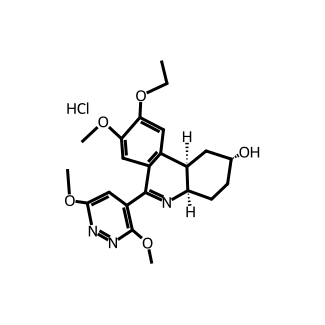 CCOc1cc2c(cc1OC)C(c1cc(OC)nnc1OC)=N[C@@H]1CC[C@@H](O)C[C@H]21.Cl